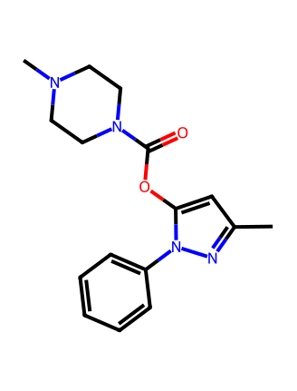 Cc1cc(OC(=O)N2CCN(C)CC2)n(-c2ccccc2)n1